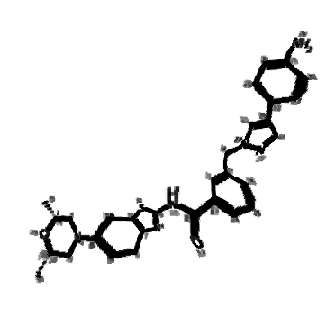 C[C@@H]1CN(C2CCc3nc(NC(=O)c4cccc(Cn5cc(-c6ccc(N)cc6)cn5)c4)sc3C2)C[C@H](C)O1